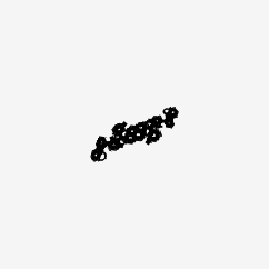 Cc1cccc(N(c2c(C)ccc(-c3cccc4c3sc3ccccc34)c2C)c2ccc3ccc4c(N(c5cccc(C)c5)c5c(C)ccc(-c6cccc7c6sc6ccccc67)c5C)ccc5ccc2c3c54)c1